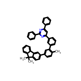 Cc1ccc(-c2ccc3c(c2)-c2ccccc2C3(C)C)cc1-c1cccc(-c2cc(-c3ccccc3)nc(-c3ccccc3)n2)c1